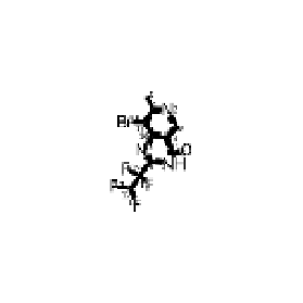 Cc1ncc2c(=O)[nH]c(C(F)(F)C(F)F)nc2c1Br